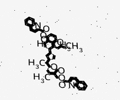 CCCC[C@H]1[C@H]([C@@H]2CC[C@H]([C@H](C)[C@H]3CC(C)=C(COC(=O)c4ccc5ccccc5n4)C(=O)O3)C2)C[C@H]2O[C@]23[C@@H](OC(=O)c2ccc4ccccc4n2)C=CC(=O)[C@]13C